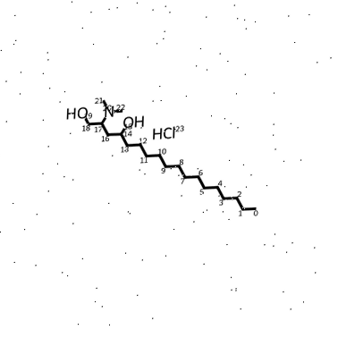 CCCCCCCCCCCCCCC(O)CC(CO)N(C)C.Cl